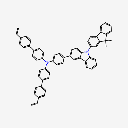 C=Cc1ccc(-c2ccc(N(c3ccc(-c4ccc(C=C)cc4)cc3)c3ccc(-c4ccc5c(c4)c4ccccc4n5-c4ccc5c(c4)C(C)(C)c4ccccc4-5)cc3)cc2)cc1